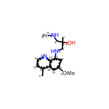 COc1cc(NCC(C)(O)CNC(C)C)c2nccc(C)c2c1